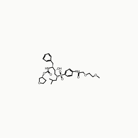 COCCOCC(=O)Nc1ccc(S(=O)(=O)N(CC(C)C)C[C@@H](O)[C@H](Cc2ccccc2)NC(=O)O[C@H]2CCOC2)cc1